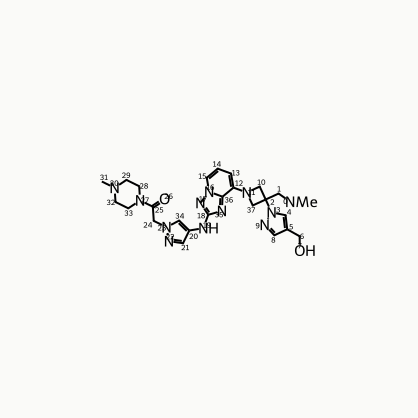 CNCC1(n2cc(CO)cn2)CN(c2cccn3nc(Nc4cnn(CC(=O)N5CCN(C)CC5)c4)nc23)C1